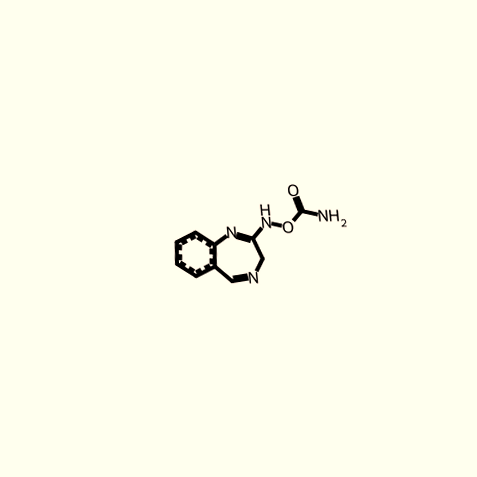 NC(=O)ONC1=Nc2ccccc2C=NC1